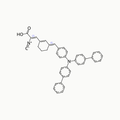 [C-]#[N+]/C(=C\C1=CC(=C/c2ccc(N(c3ccc(-c4ccccc4)cc3)c3ccc(-c4ccccc4)cc3)cc2)/CCC1)C(=O)O